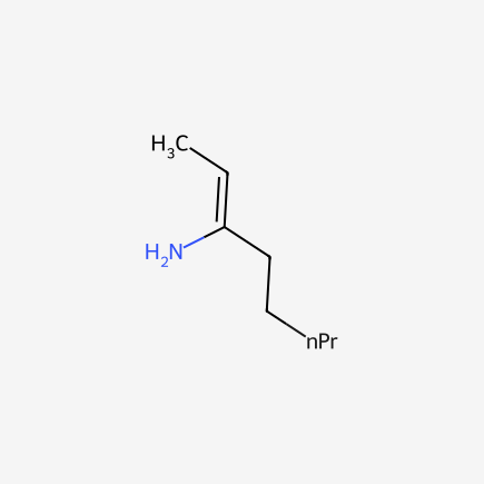 CC=C(N)CCCCC